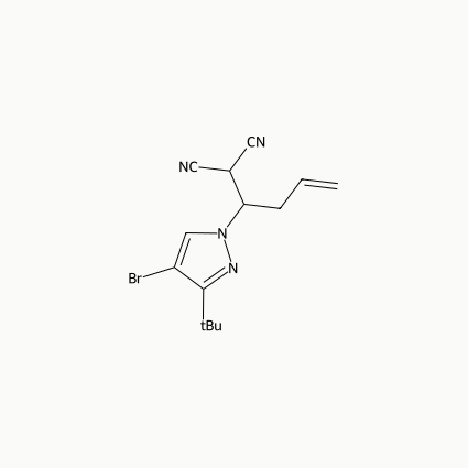 C=CCC(C(C#N)C#N)n1cc(Br)c(C(C)(C)C)n1